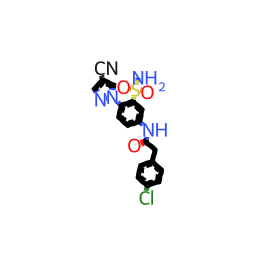 N#Cc1cnn(-c2ccc(NC(=O)Cc3ccc(Cl)cc3)cc2S(N)(=O)=O)c1